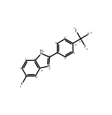 Fc1ccc2[nH]c(-c3ccc(C(F)(F)F)cc3)nc2c1